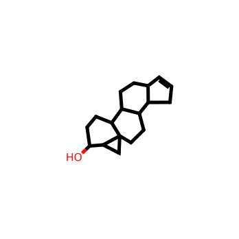 OC1CCC2C3CCC4C=CCC4C3CCC23CC13